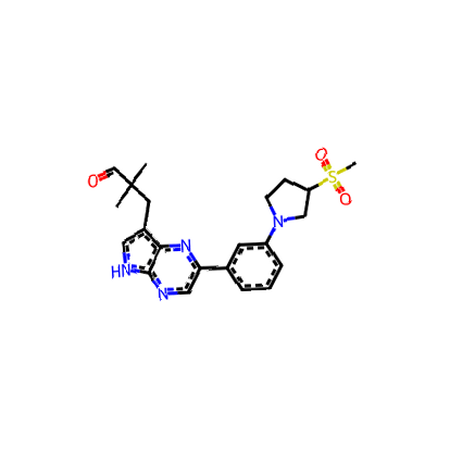 CC(C)(C=O)Cc1c[nH]c2ncc(-c3cccc(N4CCC(S(C)(=O)=O)C4)c3)nc12